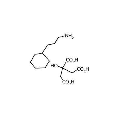 NCCCC1CCCCC1.O=C(O)CC(O)(CC(=O)O)C(=O)O